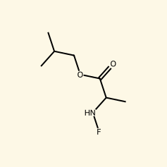 CC(C)COC(=O)C(C)NF